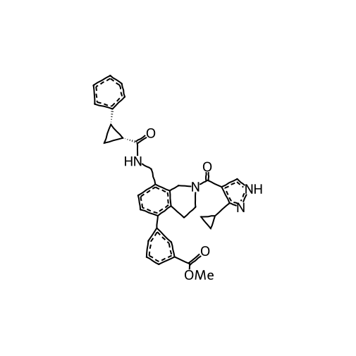 COC(=O)c1cccc(-c2ccc(CNC(=O)[C@@H]3C[C@@H]3c3ccccc3)c3c2CCN(C(=O)c2c[nH]nc2C2CC2)C3)c1